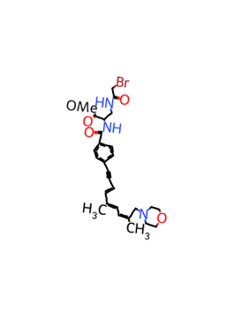 COC(=O)C(CNC(=O)CBr)NC(=O)c1ccc(C#CC=CC(C)=CC=C(C)CN2CCOCC2)cc1